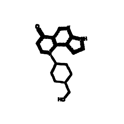 O=c1ccn(C2CCC(CO)CC2)c2c1cnc1[nH]ccc12